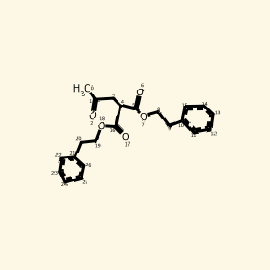 CC(=O)CC(C(=O)OCCc1ccccc1)C(=O)OCCc1ccccc1